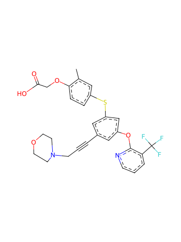 Cc1cc(Sc2cc(C#CCN3CCOCC3)cc(Oc3ncccc3C(F)(F)F)c2)ccc1OCC(=O)O